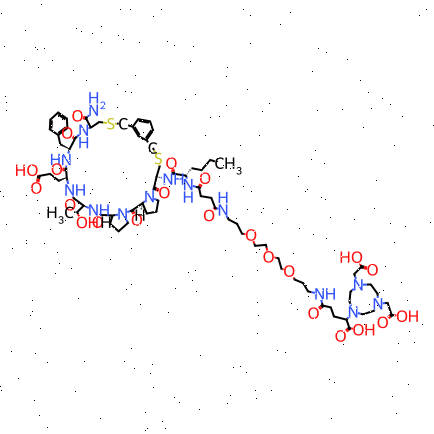 CCCC[C@H](NC(=O)CCC(=O)NCCCOCCOCCOCCCNC(=O)CCC(C(=O)O)N1CCN(CC(=O)O)CCN(CC(=O)O)CC1)C(=O)N[C@H]1CSCc2cccc(c2)CSCC(C(N)=O)NC(=O)[C@H](Cc2ccccc2)NC(=O)[C@H](CCC(=O)O)NC(=O)[C@H]([C@@H](C)O)NC(=O)[C@@H]2CCCN2C(=O)[C@@H]2CCCN2C1=O